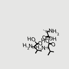 CC(C)[C@H](N)C(=O)O.CC(C)[C@H](N)C(=O)O.C[C@H](N)C(=O)O